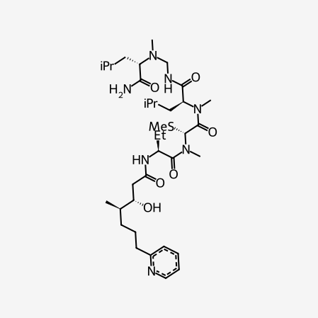 CC[C@H](NC(=O)C[C@H](O)[C@H](C)CCCc1ccccn1)C(=O)N(C)[C@H](SC)C(=O)N(C)[C@@H](CC(C)C)C(=O)NCN(C)[C@@H](CC(C)C)C(N)=O